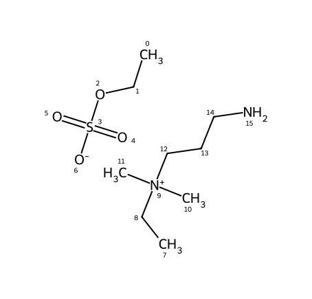 CCOS(=O)(=O)[O-].CC[N+](C)(C)CCCN